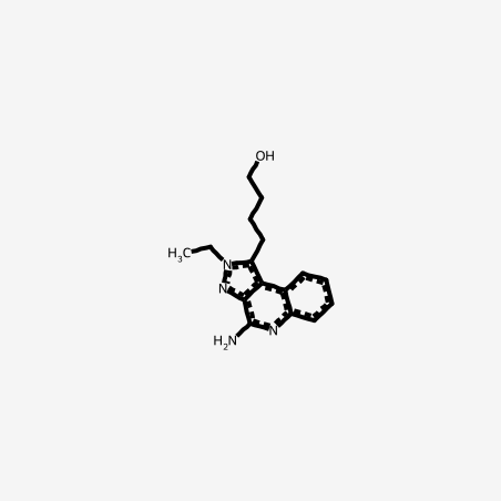 CCn1nc2c(N)nc3ccccc3c2c1CCCCO